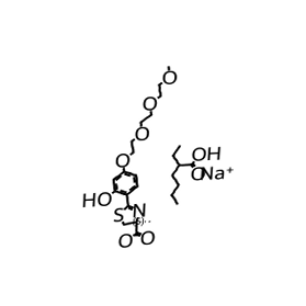 CCCCC(CC)C(=O)O.COCCOCCOCCOc1ccc(C2=N[C@@](C)(C(=O)[O-])CS2)c(O)c1.[Na+]